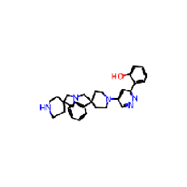 Oc1ccccc1-c1cc(N2CCC(CN3CC4(CCNCC4)C3)(c3ccccc3)CC2)cnn1